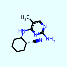 Cc1cnc(N)nc1N[C@@H]1CCCC[C@H]1C#N